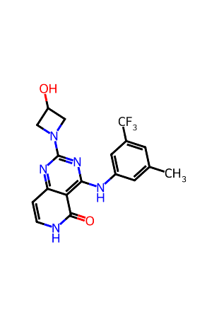 Cc1cc(Nc2nc(N3CC(O)C3)nc3cc[nH]c(=O)c23)cc(C(F)(F)F)c1